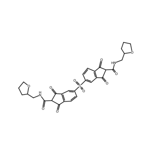 O=C(NCC1CCCO1)C1C(=O)c2ccc(S(=O)(=O)c3ccc4c(c3)C(=O)C(C(=O)NCC3CCCO3)C4=O)cc2C1=O